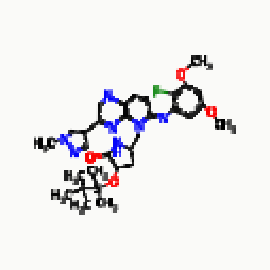 COc1cc(/N=c2\ccc3ncc(-c4cnn(C)c4)nc3n2CC2CC(O[Si](C)(C)C(C)(C)C)C(=O)N2)c(F)c(OC)c1